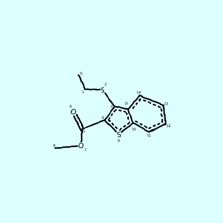 CCSc1c(C(=O)OC)sc2ccccc12